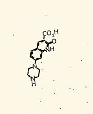 O=C(O)c1cc2ccc(N3CCNCC3)cc2[nH]c1=O